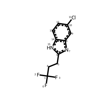 FC(F)(F)C[CH]c1nc2cc(Cl)ccc2[nH]1